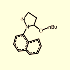 CCCCOC1CC[N]N1c1cccc2ccccc12